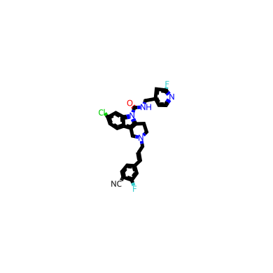 N#Cc1ccc(C=CCN2CCc3c(c4ccc(Cl)cc4n3C(=O)NCc3ccnc(F)c3)C2)cc1F